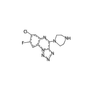 Fc1cc2c(cc1Cl)nc(N1CCNCC1)c1nnnn12